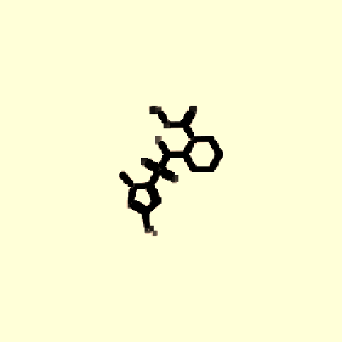 Cn1nc(C(F)(F)F)cc1S(=O)(=O)C(F)C1CCCCN1C(=O)OC(C)(C)C